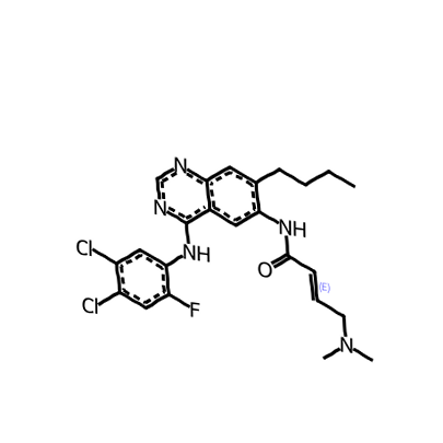 CCCCc1cc2ncnc(Nc3cc(Cl)c(Cl)cc3F)c2cc1NC(=O)/C=C/CN(C)C